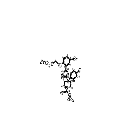 CCOC(=O)COc1ccc(Br)cc1-c1nc(C2(c3ccc(F)cc3)CCN(C(=O)OC(C)(C)C)CC2)no1